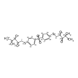 C=C(C)C(=O)C(=O)CSc1ccc(S(=O)(=O)c2ccc(SCC(=O)C(=O)C(=C)C)cc2)cc1